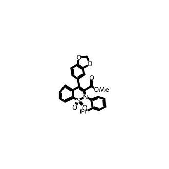 COC(=O)C1=C(c2ccc3c(c2)OCO3)c2ccccc2S(=O)(=O)N1c1ccccc1C(C)C